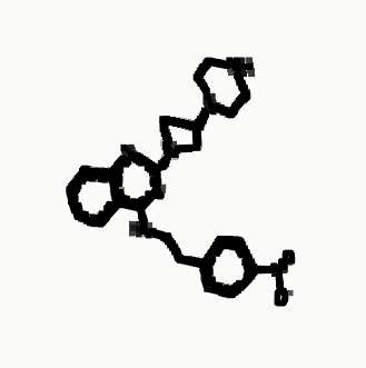 O=[N+]([O-])c1ccc(CCNc2nc(N3CC(N4CCNCC4)C3)nc3ccccc23)cc1